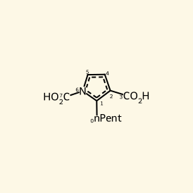 CCCCCc1c(C(=O)O)ccn1C(=O)O